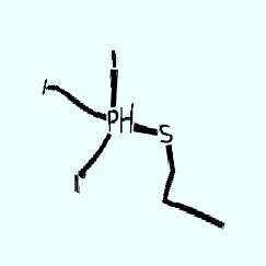 CCS[PH](I)(I)I